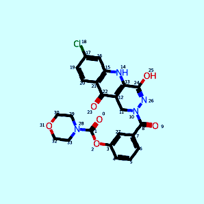 O=C(Oc1cccc(C(=O)N2Cc3c([nH]c4cc(Cl)ccc4c3=O)C(O)=N2)c1)N1CCOCC1